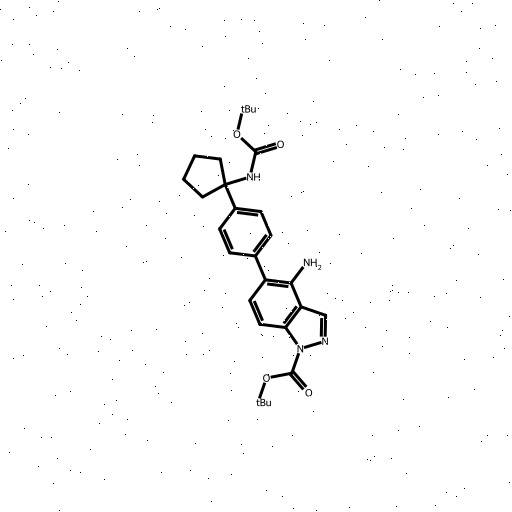 CC(C)(C)OC(=O)NC1(c2ccc(-c3ccc4c(cnn4C(=O)OC(C)(C)C)c3N)cc2)CCCC1